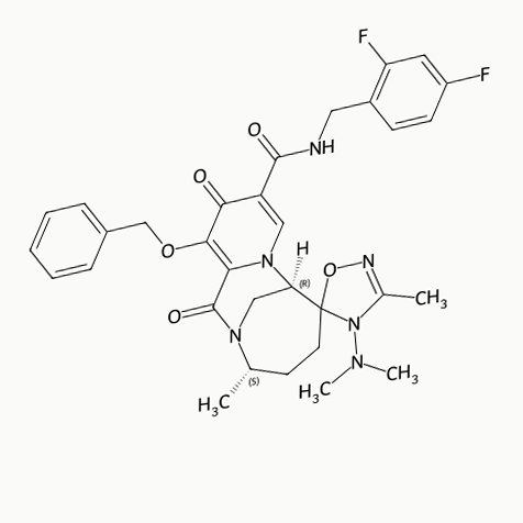 CC1=NOC2(CC[C@H](C)N3C[C@H]2n2cc(C(=O)NCc4ccc(F)cc4F)c(=O)c(OCc4ccccc4)c2C3=O)N1N(C)C